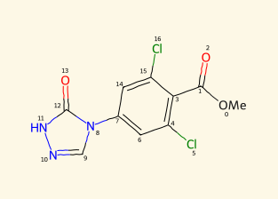 COC(=O)c1c(Cl)cc(-n2cn[nH]c2=O)cc1Cl